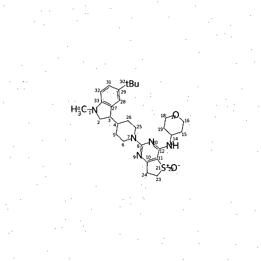 CN1CC(C2CCN(c3nc4c(c(NC5CCOCC5)n3)[S+]([O-])CC4)CC2)c2cc(C(C)(C)C)ccc21